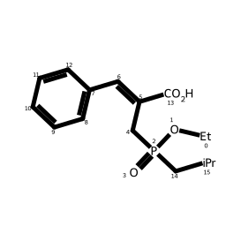 CCOP(=O)(CC(=Cc1ccccc1)C(=O)O)CC(C)C